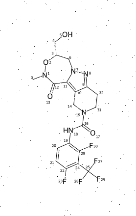 CN1O[C@H](CO)Cn2nc3c(c2C1=O)CN(C(=O)Nc1ccc(F)c(C(F)(F)F)c1F)CC3